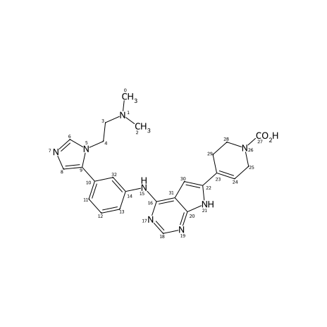 CN(C)CCn1cncc1-c1cccc(Nc2ncnc3[nH]c(C4=CCN(C(=O)O)CC4)cc23)c1